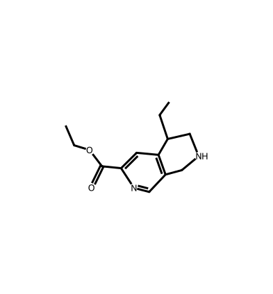 CCOC(=O)c1cc2c(cn1)CNCC2CC